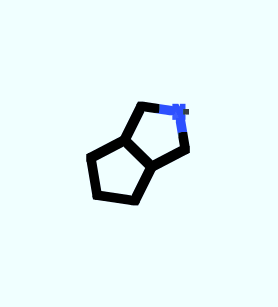 C1CC2C[N]CC2C1